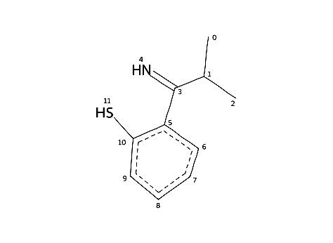 CC(C)C(=N)c1ccccc1S